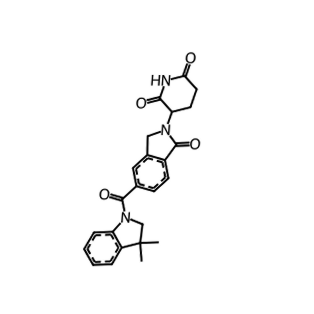 CC1(C)CN(C(=O)c2ccc3c(c2)CN(C2CCC(=O)NC2=O)C3=O)c2ccccc21